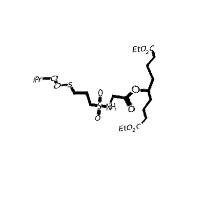 CCOC(=O)CCCC(CCCC(=O)OCC)OC(=O)CNS(=O)(=O)CCCSOOC(C)C